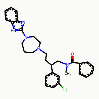 CN(CC(CCN1CCCN(c2nc3ccccc3[nH]2)CC1)c1cccc(Cl)c1)C(=O)c1ccccc1